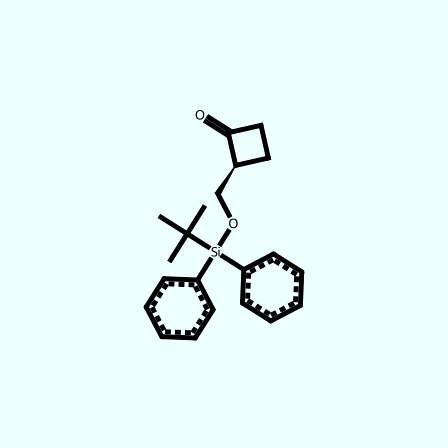 CC(C)(C)[Si](OC[C@@H]1CCC1=O)(c1ccccc1)c1ccccc1